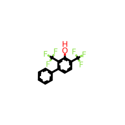 Oc1c(C(F)(F)F)ccc(-c2ccccc2)c1C(F)(F)F